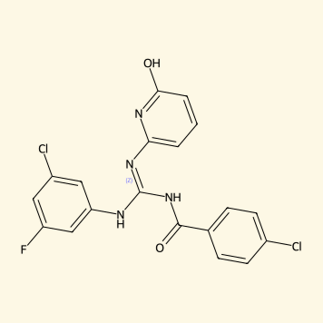 O=C(N/C(=N\c1cccc(O)n1)Nc1cc(F)cc(Cl)c1)c1ccc(Cl)cc1